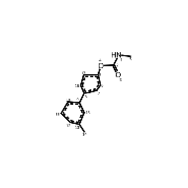 CNC(=O)Oc1ccc(-c2cccc(C)c2)cc1